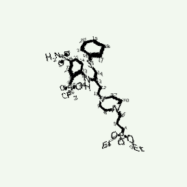 CCOP(=O)(CCCN1CCN(CCC(CSc2ccccc2)Nc2ccc(S(N)(=O)=O)cc2S(=O)(=O)C(F)(F)F)CC1)OCC